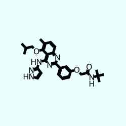 Cc1ccc2nc(-c3cccc(OCC(=O)NC(C)(C)C)c3)nc(Nc3cc[nH]n3)c2c1OCC(C)C